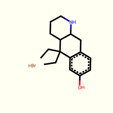 Br.CCC1(CC)c2cc(O)ccc2CC2NCCCC21